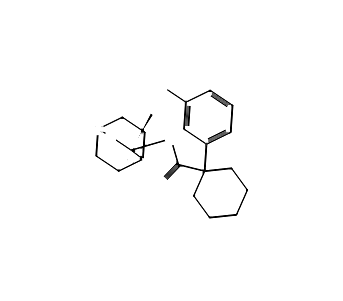 [CH2]CCc1cccc(C2(C(=O)O[C@H]3CN4CCC3CC4)CCCCC2)c1